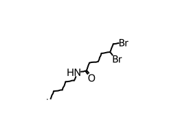 [CH2]CCCCNC(=O)CCCC(Br)CBr